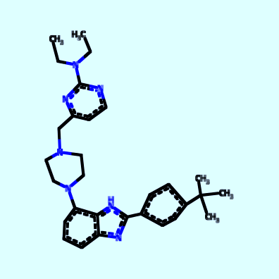 CCN(CC)c1nccc(CN2CCN(c3cccc4nc(-c5ccc(C(C)(C)C)cc5)[nH]c34)CC2)n1